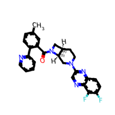 Cc1ccc(-c2ccccn2)c(C(=O)N2C[C@H]3CCN(c4cnc5c(F)c(F)ccc5n4)C[C@H]32)c1